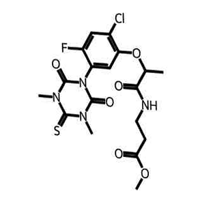 COC(=O)CCNC(=O)C(C)Oc1cc(-n2c(=O)n(C)c(=S)n(C)c2=O)c(F)cc1Cl